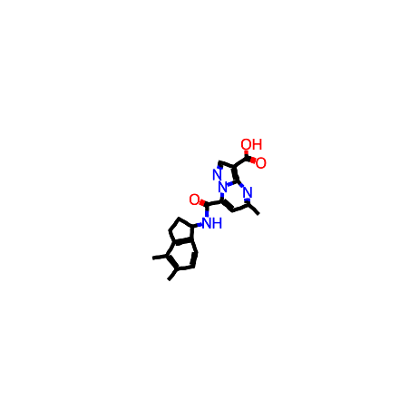 Cc1cc(C(=O)NC2CCc3c2ccc(C)c3C)n2ncc(C(=O)O)c2n1